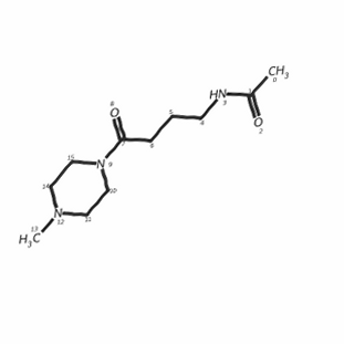 CC(=O)NCCCC(=O)N1CCN(C)CC1